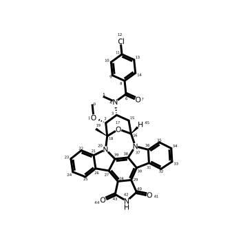 CO[C@@H]1[C@H](N(C)C(=O)c2ccc(Cl)cc2)C[C@H]2O[C@]1(C)n1c3ccccc3c3c4c(c5c6ccccc6n2c5c31)C(=O)NC4=O